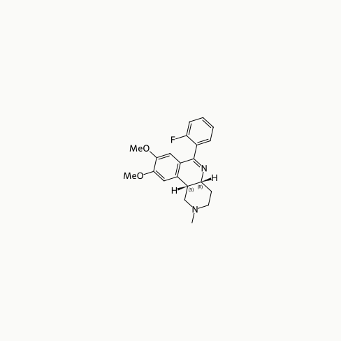 COc1cc2c(cc1OC)[C@H]1CN(C)CC[C@H]1N=C2c1ccccc1F